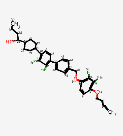 C=CCCOc1ccc(OCc2ccc(-c3ccc(C4CCC(C(O)CCC)CC4)c(F)c3F)cc2)c(F)c1F